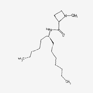 CCCCCCC[C@@H](CCCCC)NC(=O)C1CCN1O